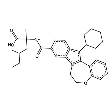 CCC(C)CC(C)(NC(=O)c1ccc2c(C3CCCCC3)c3n(c2c1)CCOc1ccccc1-3)C(=O)O